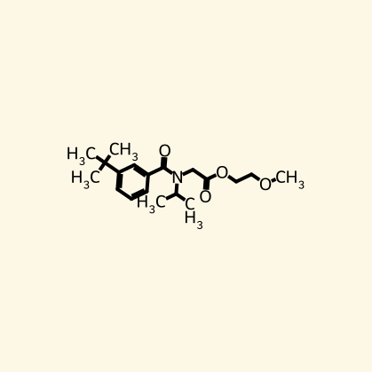 COCCOC(=O)CN(C(=O)c1cccc(C(C)(C)C)c1)C(C)C